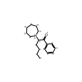 CCCCC(C(=O)c1ccccc1)N1CCCCCC1